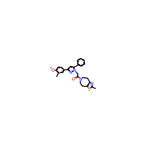 COc1ccc(-c2cc(-c3ccccc3)n(CC(=O)N3CCc4nc(C)sc4CC3)n2)cc1C